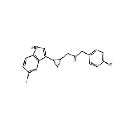 Fc1ccc(CNCC2CC2c2c[nH]c3ccc(F)cc23)cc1